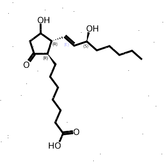 CCCCC[C@H](O)/C=C/[C@H]1C(O)CC(=O)[C@@H]1CCCCCCC(=O)O